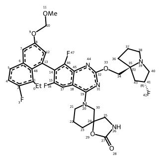 CCc1c(F)ccc2cc(OCOC)cc(-c3c(F)cc4c(N5CCCC6(CNC(=O)O6)C5)nc(OC[C@@]56CCCN5C[C@H](F)C6)nc4c3F)c12